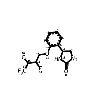 O=C1[N]CC(c2ccccc2OCC(F)C(F)C(F)(F)F)N1